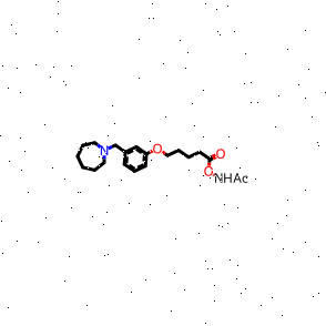 CC(=O)NOC(=O)CCCCOc1cccc(CN2CCCCCC2)c1